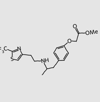 COC(=O)COc1ccc(CC(C)NCCc2csc(C(F)(F)F)n2)cc1